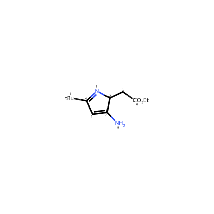 CCOC(=O)CC1N=C(C(C)(C)C)C=C1N